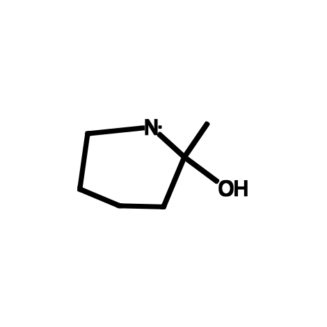 CC1(O)CCCC[N]1